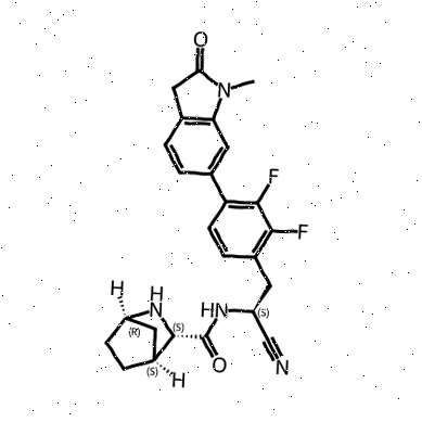 CN1C(=O)Cc2ccc(-c3ccc(C[C@@H](C#N)NC(=O)[C@H]4N[C@@H]5CC[C@H]4C5)c(F)c3F)cc21